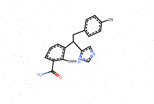 COc1c(C(N)=O)cccc1C(Cc1ccc(C#N)cc1)c1cnc[nH]1